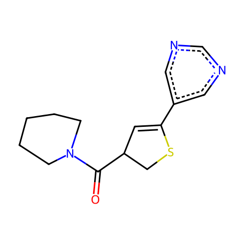 O=C(C1C=C(c2cncnc2)SC1)N1CCCCC1